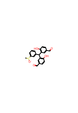 C[S+]([O-])c1cccc(C(c2cc(C=O)ccc2O)c2cc(C=O)ccc2O)c1